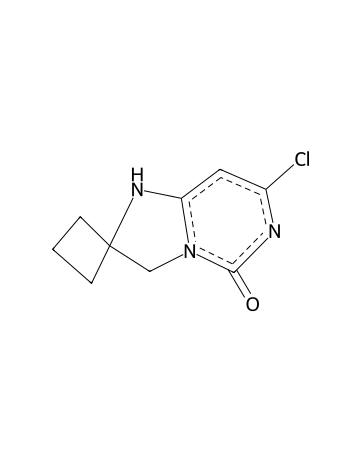 O=c1nc(Cl)cc2n1CC1(CCC1)N2